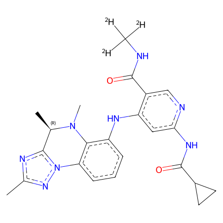 [2H]C([2H])([2H])NC(=O)c1cnc(NC(=O)C2CC2)cc1Nc1cccc2c1N(C)[C@H](C)c1nc(C)nn1-2